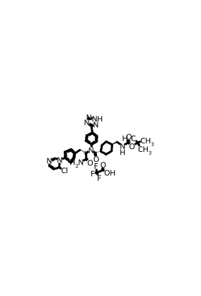 CC(C)(C)OC(=O)NC[C@H]1CC[C@H](C(=O)N(c2ccc(-c3nn[nH]n3)cc2)[C@@H](Cc2ccc(N3C=NC=CC3Cl)cc2)C(N)=O)CC1.O=C(O)C(F)(F)F